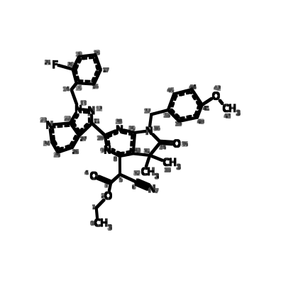 CCOC(=O)C(C#N)c1nc(-c2nn(Cc3ccccc3F)c3ncccc23)nc2c1C(C)(C)C(=O)N2Cc1ccc(OC)cc1